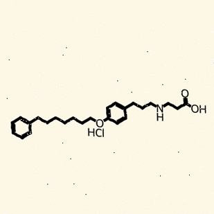 Cl.O=C(O)CCNCCCc1ccc(OCCCCCCCc2ccccc2)cc1